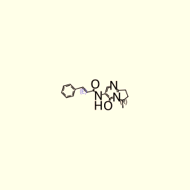 C[C@@H]1CCc2ncc(NC(=O)/C=C/c3ccccc3)c(=O)n21